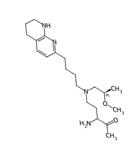 CO[C@H](C)CN(CCCCc1ccc2c(n1)NCCC2)CCC(N)C(C)=O